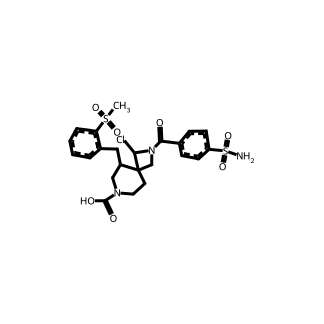 CS(=O)(=O)c1ccccc1CC1CN(C(=O)O)CCC12CN(C(=O)c1ccc(S(N)(=O)=O)cc1)C2Cl